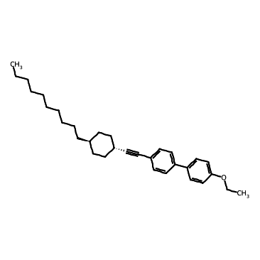 CCCCCCCCCC[C@H]1CC[C@H](C#Cc2ccc(-c3ccc(OCC)cc3)cc2)CC1